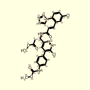 COC(=O)C[C@H](NC(=O)/C=C/c1cc(Cl)ccc1-n1cnnn1)c1cc(-c2ccc(NC(=O)OC)cc2)c(Cl)nn1